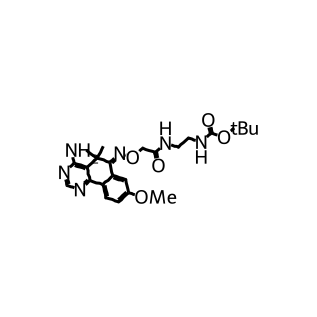 COc1ccc2c(c1)/C(=N\OCC(=O)NCCNC(=O)OC(C)(C)C)C(C)(C)c1c(N)ncnc1-2